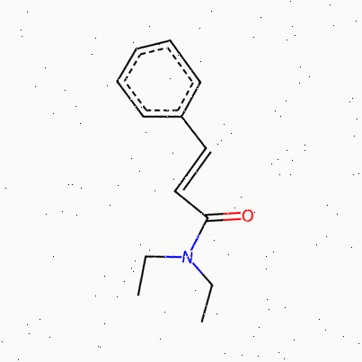 CCN(CC)C(=O)/C=C/c1ccccc1